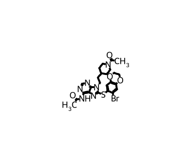 CC(=O)Nc1ncnc2c1nc(Sc1cc3c(cc1Br)OCCO3)n2CCC1CCN(C(C)=O)CC1